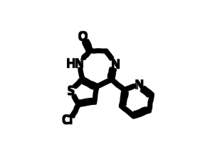 O=C1CN=C(c2ccccn2)c2cc(Cl)sc2N1